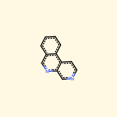 [c]1nc2cnccc2c2ccccc12